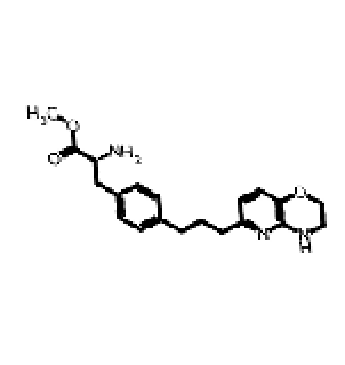 COC(=O)[C@@H](N)Cc1ccc(CCCc2ccc3c(n2)NCCO3)cc1